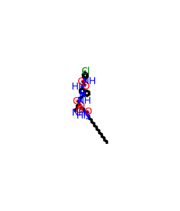 CCCCCCCCCCCCCCCCNC(=O)CCC(=O)OC(CCCN)C(=O)NCCN1CCC(NC(=O)C(=O)Nc2ccc(Cl)cc2)CC12CCCCC2